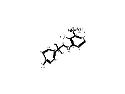 CC(C)(COc1ccnc(NN)c1C(F)(F)F)c1ccc(Cl)cc1